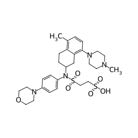 Cc1ccc(N2CCN(C)CC2)c2c1CCC(N(c1ccc(N3CCOCC3)cc1)S(=O)(=O)CCS(=O)(=O)O)C2